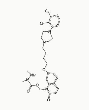 CNN(C)C(=O)OCn1c(=O)ccc2ccc(OCCCCN3CCN(c4cccc(Cl)c4Cl)CC3)cc21